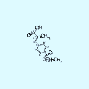 CNS(=O)(=O)c1ccc(/C=C(\C)C(=O)O)cc1